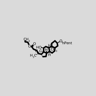 C=CCOC(=O)CC[C@@H](C)[C@H]1CC[C@H]2[C@@H]3CCC4C[C@H](OCCCCC)CC[C@]4(C)[C@H]3C[C@H](O)[C@]12C